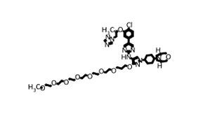 COCCOCCOCCOCCOCCOCCOCCCOc1nn(C2CCC(N3[C@@H]4CC[C@H]3COC4)CC2)cc1Nc1ncc(-c2ccc(Cl)c(O[C@@H](C)Cn3cncn3)c2)cn1